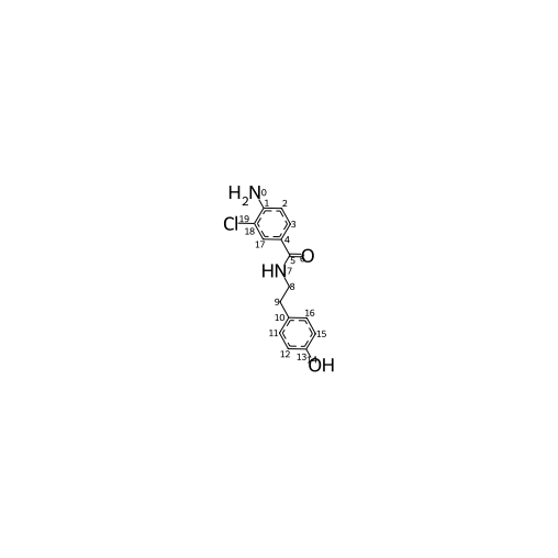 Nc1ccc(C(=O)NCCc2ccc(O)cc2)cc1Cl